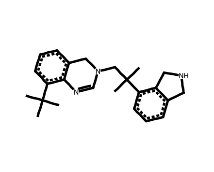 CC(C)(C)c1cccc2c1N=CN(CC(C)(C)c1cccc3c1CNC3)C2